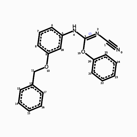 N#C/N=C(/Nc1cccc(OCc2ccccc2)c1)Oc1ccccc1